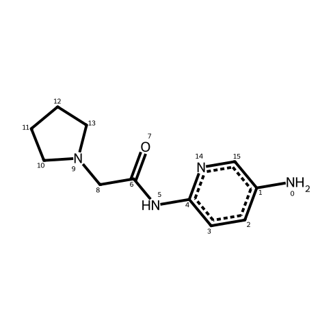 Nc1ccc(NC(=O)CN2CCCC2)nc1